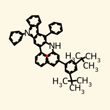 CC(C)(C)c1cc(-c2cccc(Nc3c(-c4ccccc4)cc4c(c3-c3ccccc3)c3ccccc3n4-c3ccccc3)c2)cc(C(C)(C)C)c1